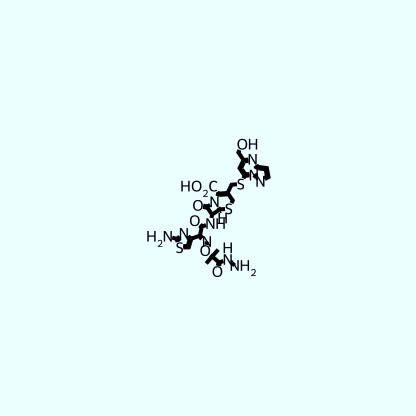 CC(C)(ON=C(C(=O)NC1C(=O)N2C(C(=O)O)=C(CSc3cc(CO)nc4ccnn34)CS[C@@H]12)c1csc(N)n1)C(=O)NN